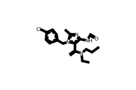 C=C(c1c(NC=O)nc(C)n1Cc1ccc(Cl)cc1)N(CC)CCC